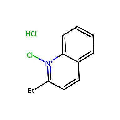 CCc1ccc2ccccc2[n+]1Cl.Cl